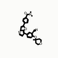 CN(C)C(=O)c1ccc(-c2cc3nccc(-c4ccc(OC5(C)CCOCC5)c(C#N)c4)c3o2)cc1